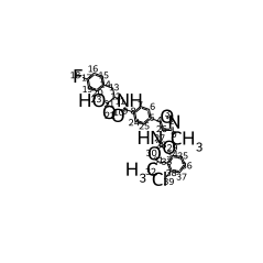 Cc1noc(-c2ccc(C(=O)NC(Cc3ccc(F)cc3)C(=O)O)cc2)c1NC(=O)OC(C)c1ccccc1Cl